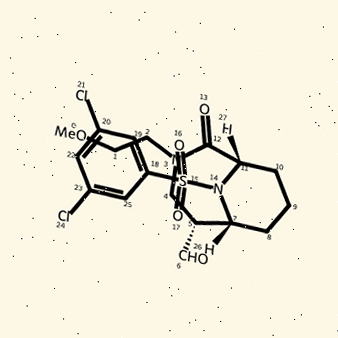 COCCN1C[C@@H](C=O)[C@H]2CCC[C@@H](C1=O)N2S(=O)(=O)c1cc(Cl)cc(Cl)c1